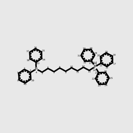 c1ccc(P(CCCCCCCCC[PH](c2ccccc2)(c2ccccc2)c2ccccc2)c2ccccc2)cc1